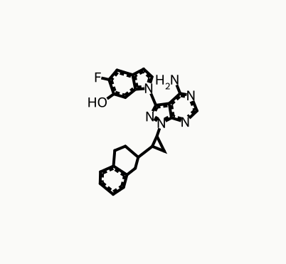 Nc1ncnc2c1c(-n1ccc3cc(F)c(O)cc31)nn2C1CC1C1CCc2ccccc2C1